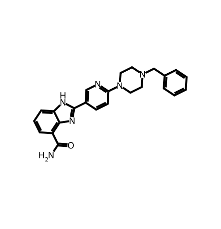 NC(=O)c1cccc2[nH]c(-c3ccc(N4CCN(Cc5ccccc5)CC4)nc3)nc12